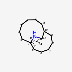 C1CCCC23CCCCCC(CC1)C(CC2)N3